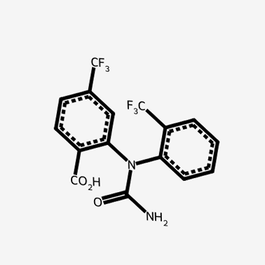 NC(=O)N(c1cc(C(F)(F)F)ccc1C(=O)O)c1ccccc1C(F)(F)F